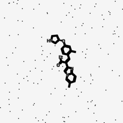 CCC(=O)/C(=C\c1ccc(O[C@@H]2CCNC2)cc1C)c1cn2cc(C)ccc2n1